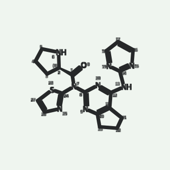 O=C([C@H]1CCCN1)N(c1nc2c(c(Nc3ncccn3)n1)CCC2)c1nccs1